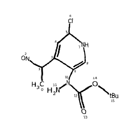 CC(N=O)C1=CC(Cl)NC=C1N(N)C(=O)OC(C)(C)C